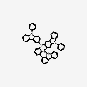 c1ccc(-n2c3ccccc3c3cc(N4c5cc6c7ccccc7n(-c7ccccc7)c6cc5B5c6c(cccc64)-c4cccc6c7ccccc7n5c46)ccc32)cc1